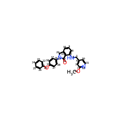 COc1cc(CNc2cccc3c2C(=O)N(c2ccc(Oc4ccccc4)cc2)C3)ccn1